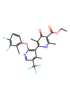 CCOC(=O)c1c(C)[nH]c(-c2c(Oc3ccc(F)c(F)c3C)ncc(C(F)(F)F)c2C)c(C)c1=O